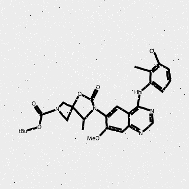 COc1cc2ncnc(Nc3cccc(Cl)c3C)c2cc1N1C(=O)OC2(CN(C(=O)OC(C)(C)C)C2)C1C